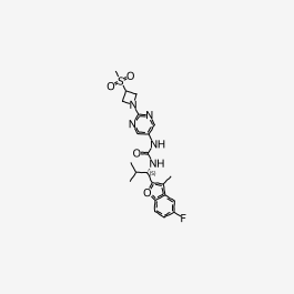 Cc1c([C@@H](NC(=O)Nc2cnc(N3CC(S(C)(=O)=O)C3)nc2)C(C)C)oc2ccc(F)cc12